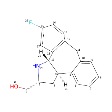 OC[C@H]1C[C@@H]2c3ccccc3Cc3ccc(F)cc3[C@H]2N1